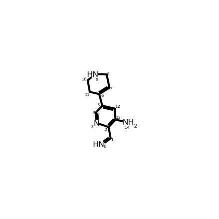 N=Cc1ncc(C2=CCNCC2)cc1N